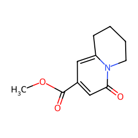 COC(=O)c1cc2n(c(=O)c1)CCCC2